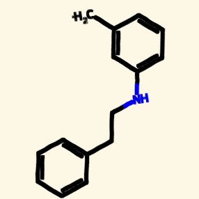 [CH2]c1cccc(NCCc2ccccc2)c1